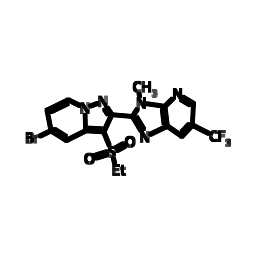 CCS(=O)(=O)c1c(-c2nc3cc(C(F)(F)F)cnc3n2C)nn2ccc(Br)cc12